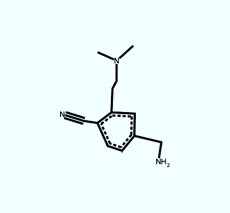 CN(C)CCc1cc(CN)[c]cc1C#N